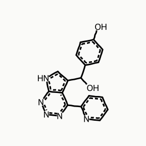 Oc1ccc(C(O)c2c[nH]c3nnnc(-c4ccccn4)c23)cc1